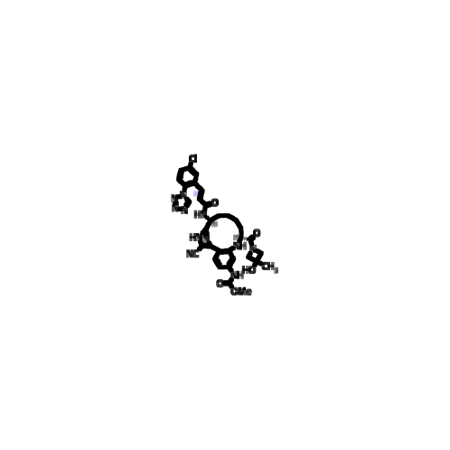 COC(=O)Nc1ccc2c(c1)N[C@@H](C(=O)N1CC(C)(O)C1)CCCC[C@H](NC(=O)/C=C/c1cc(Cl)ccc1-n1cnnn1)c1nc-2c(C#N)[nH]1